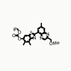 COCc1cnc2c(-c3nc4c(C)c(C)c(OC(=O)OC(C)C)cc4s3)cc(C)cc2n1